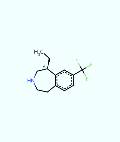 CC[C@@H]1CNCCc2ccc(C(F)(F)F)cc21